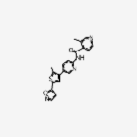 Cc1cnccc1C(=O)Nc1ccc(-c2cc(-c3ccno3)sc2C)cn1